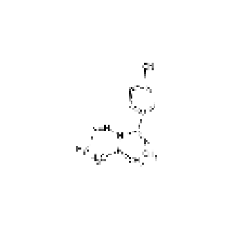 C=C(C)N(/N=N\C)/C(=N\C)c1ccc(C#N)cc1